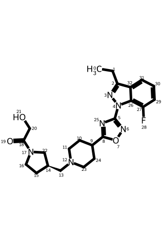 CCc1nn(-c2noc(C3CCN(C[C@H]4CCN(C(=O)CO)C4)CC3)n2)c2c(F)cccc12